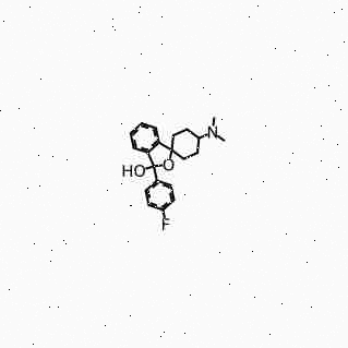 CN(C)C1CCC2(CC1)OC(O)(c1ccc(F)cc1)c1ccccc12